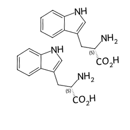 N[C@@H](Cc1c[nH]c2ccccc12)C(=O)O.N[C@@H](Cc1c[nH]c2ccccc12)C(=O)O